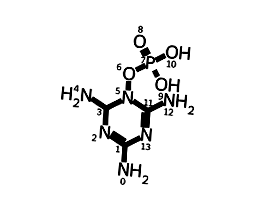 NC1=NC(N)N(OP(=O)(O)O)C(N)=N1